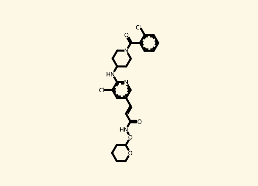 O=C(C=Cc1cnc(NC2CCN(C(=O)c3ccccc3Cl)CC2)c(Cl)c1)NOC1CCCCO1